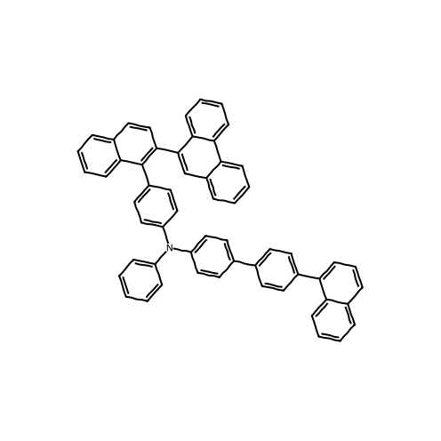 c1ccc(N(c2ccc(-c3ccc(-c4cccc5ccccc45)cc3)cc2)c2ccc(-c3c(-c4cc5ccccc5c5ccccc45)ccc4ccccc34)cc2)cc1